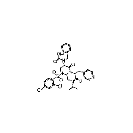 CC(C)N1CC2N(C(=O)C(N(Cc3ccccc3)C(=O)O)CN2S(=O)(=O)c2ccc(Cl)cc2Cl)C(Cc2ccncc2)C1=O